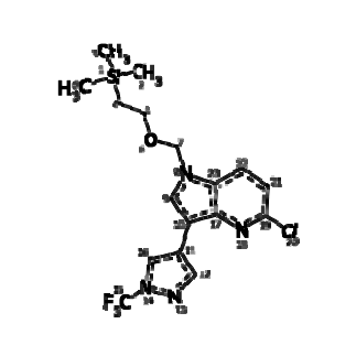 C[Si](C)(C)CCOCn1cc(-c2cnn(C(F)(F)F)c2)c2nc(Cl)ccc21